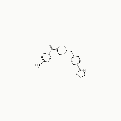 Cc1ccc(C(=O)N2CCC(Cc3ccc(C4=NCCO4)cc3)CC2)cc1